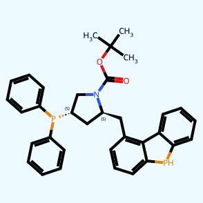 CC(C)(C)OC(=O)N1C[C@@H](P(c2ccccc2)c2ccccc2)C[C@@H]1Cc1cccc2[pH]c3ccccc3c12